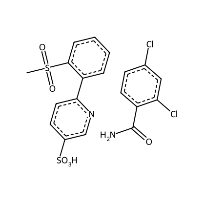 CS(=O)(=O)c1ccccc1-c1ccc(S(=O)(=O)O)cn1.NC(=O)c1ccc(Cl)cc1Cl